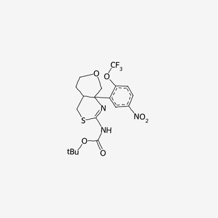 CC(C)(C)OC(=O)NC1=NC2(c3cc([N+](=O)[O-])ccc3OC(F)(F)F)COCCC2CS1